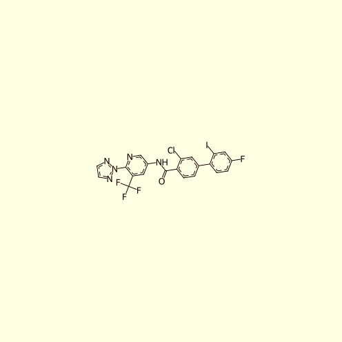 O=C(Nc1cnc(-n2nccn2)c(C(F)(F)F)c1)c1ccc(-c2ccc(F)cc2I)cc1Cl